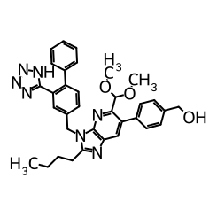 CCCCc1nc2cc(-c3ccc(CO)cc3)c(C(OC)OC)nc2n1Cc1ccc(-c2ccccc2)c(-c2nnn[nH]2)c1